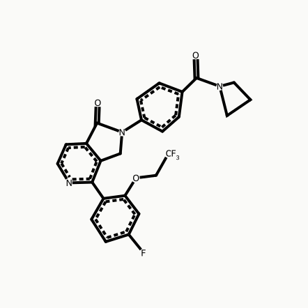 O=C(c1ccc(N2Cc3c(ccnc3-c3ccc(F)cc3OCC(F)(F)F)C2=O)cc1)N1CCC1